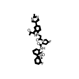 CC(=O)c1nn(CC(=O)N2C[C@H](F)C[C@H]2C(=O)NC2C=CC=C(c3cccc(F)c3)C2(F)S(C)(=O)=O)c2ccc(-c3cnc(C)nc3)cc12